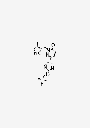 Cc1cnoc1Cn1nc(-c2cnc(OCC(F)(F)I)nc2)ccc1=O